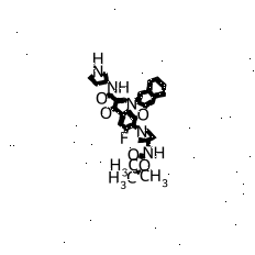 CC(C)(C)OC(=O)NC1CCN(c2c(F)cc3c(=O)c(C(=O)NC4CCNC4)cn4c3c2Oc2cc3ccccc3cc2-4)C1